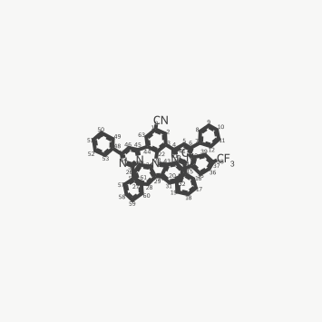 N#Cc1cc(-c2cc(-c3ccccc3)nc(-c3ccccc3)n2)c(-n2c3ccccc3c3ccc(-c4ccc(C(F)(F)F)cc4C(F)(F)F)cc32)c(-c2cc(-c3ccccc3)nc(-c3ccccc3)n2)c1